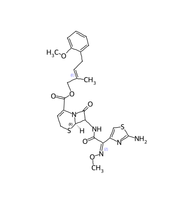 CO/N=C(\C(=O)NC1C(=O)N2C(C(=O)OC/C(C)=C/Cc3ccccc3OC)=CCS[C@H]12)c1csc(N)n1